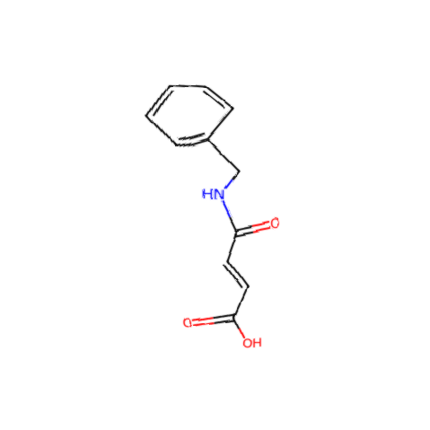 O=C(O)C=CC(=O)NCc1ccccc1